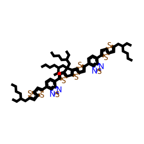 CCCCC(CC)Cc1cc2sc(-c3ccc(-c4cc5c(s4)-c4sc6cc(-c7ccc(-c8cc9sc(CC(CC)CCCC)cc9s8)c8nsnc78)sc6c4C5(CC(CC)CCCC)CC(CC)CCCC)c4nsnc34)cc2s1